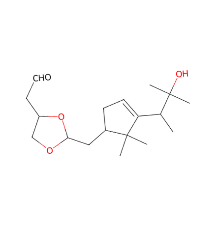 CC(C1=CCC(CC2OCC(CC=O)O2)C1(C)C)C(C)(C)O